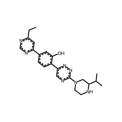 CCc1cc(-c2ccc(-c3cnc(N4CCNC(C(C)C)C4)nn3)c(O)c2)ncn1